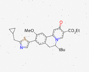 CCOC(=O)c1cn2c(cc1=O)-c1cc(OC)c(-c3cnc(CC4CC4)s3)cc1CC2C(C)(C)C